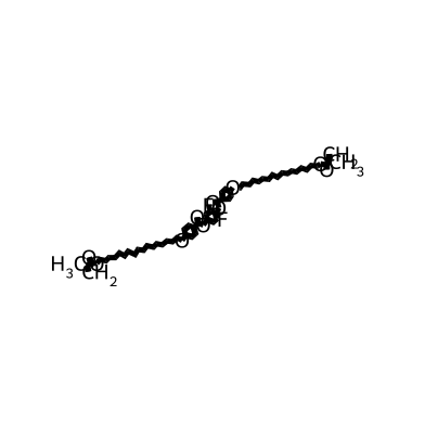 C=C(C)C(=O)OCCCCCCCCCCCCCCCCCOc1ccc(C(=O)Oc2cc(F)c(OC(=O)c3ccc(OCCCCCCCCCCCCCCCCCOC(=O)C(=C)C)cc3)c(F)c2)cc1